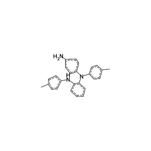 Cc1ccc(Nc2ccccc2N(c2ccc(C)cc2)c2ccc(N)cc2)cc1